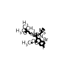 CCOC(=O)C1=C(CNCCC(=O)C(C)(C)C)NC(c2nccs2)=NC1c1ccc(F)cc1Br